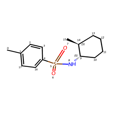 Cc1ccc(S(=O)(=O)N[C@H]2CCCC[C@@H]2C)cc1